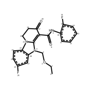 CCOCN1C2=C(C(=O)Nc3ccccc3F)C(=O)CCN2c2ccc(F)cc21